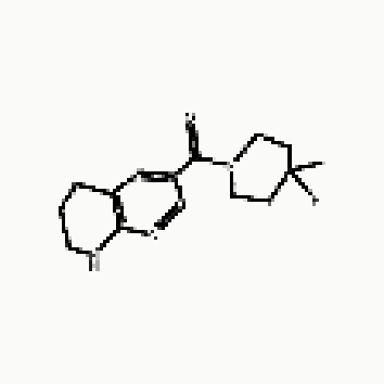 CC1(F)CCN(C(=O)c2cnc3c(c2)CCCN3)CC1